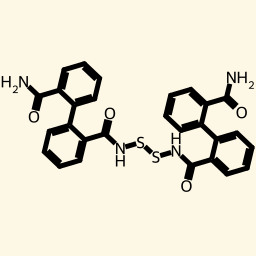 NC(=O)c1ccccc1-c1ccccc1C(=O)NSSNC(=O)c1ccccc1-c1ccccc1C(N)=O